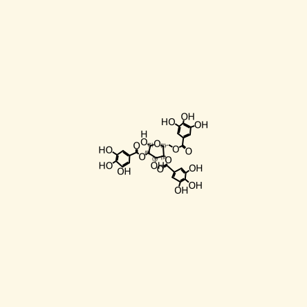 O=C(OC[C@H]1O[C@H](O)[C@H](OC(=O)c2cc(O)c(O)c(O)c2)[C@@H](O)[C@@H]1OC(=O)c1cc(O)c(O)c(O)c1)c1cc(O)c(O)c(O)c1